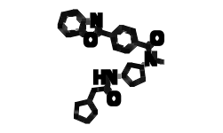 CN(C(=O)c1ccc(-c2nc3ccccc3o2)cc1)[C@@H]1CC[C@H](NC(=O)CC2CCCC2)C1